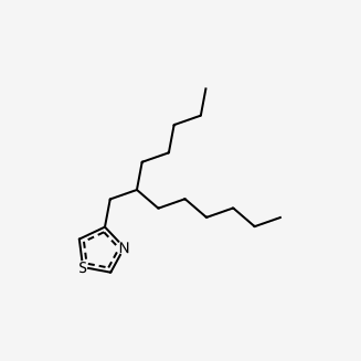 CCCCCCC(CCCCC)Cc1cscn1